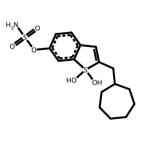 NS(=O)(=O)Oc1ccc2c(c1)S(O)(O)C(CC1CCCCCC1)=C2